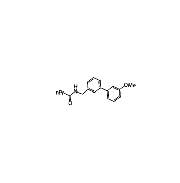 CCCC(=O)NCc1cccc(-c2cccc(OC)c2)c1